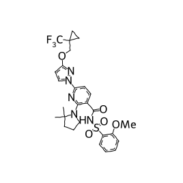 COc1ccccc1S(=O)(=O)NC(=O)c1ccc(-n2ccc(OCC3(C(F)(F)F)CC3)n2)nc1N1CCCC1(C)C